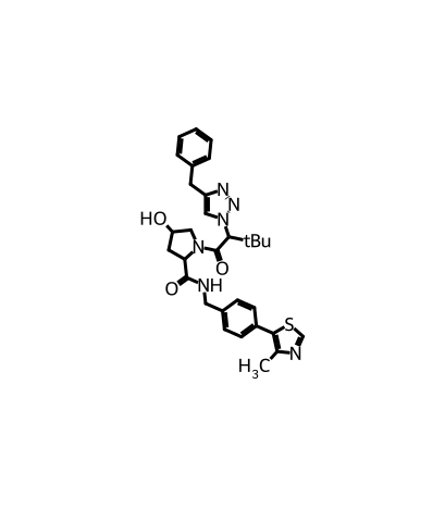 Cc1ncsc1-c1ccc(CNC(=O)C2CC(O)CN2C(=O)C(n2cc(Cc3ccccc3)nn2)C(C)(C)C)cc1